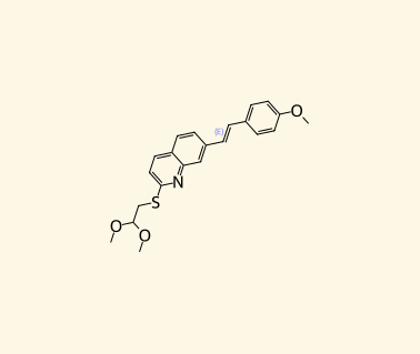 COc1ccc(/C=C/c2ccc3ccc(SCC(OC)OC)nc3c2)cc1